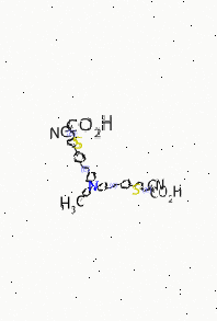 Cc1ccc(N(c2ccc(/C=C/c3ccc(-c4ccc(/C=C(\C#N)C(=O)O)s4)cc3)cc2)c2ccc(/C=C/c3ccc(-c4ccc(/C=C(\C#N)C(=O)O)s4)cc3)cc2)cc1